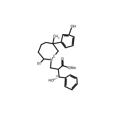 CCC1CCCC(C)(c2cccc(O)c2)CCN1CC(C(=O)OC)[C@@H](O)c1ccccc1